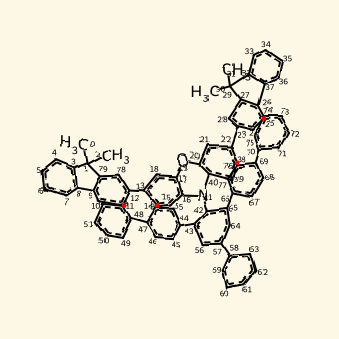 CC1(C)c2ccccc2-c2ccc(-c3ccc4c(c3)Oc3cc(-c5ccc6c(c5)C(C)(C)c5ccccc5-6)ccc3N4c3c(-c4ccc(-c5ccccc5)cc4)cc(-c4ccccc4)cc3-c3ccc(-c4ccccc4)cc3)cc21